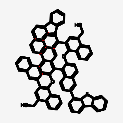 OCc1cc(-c2ccc3ccccc3c2)c(Oc2ccc3cc(-c4cccc5c4sc4ccccc45)ccc3c2-c2c(Oc3c(-c4ccc5ccccc5c4)cc(CO)c4ccccc34)ccc3cc(-c4cccc5c4sc4ccccc45)ccc23)c2ccccc12